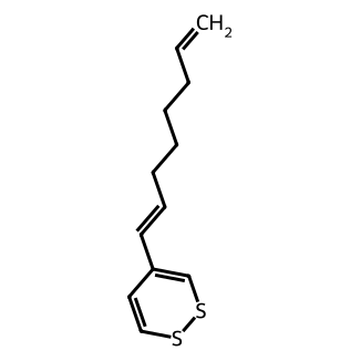 C=CCCCC/C=C/C1=CSSC=C1